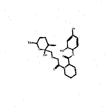 CCC1CCC(C)C(O)(COCC(=O)N2CCCCC2C(=O)OC2C=CC(C(C)C)=CC2O)O1